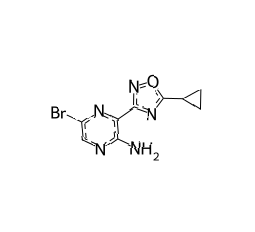 Nc1ncc(Br)nc1-c1noc(C2CC2)n1